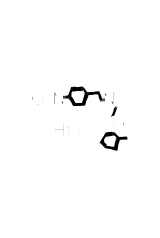 Cc1ccccc1OCCN(C)CCc1ccc([N+](=O)[O-])cc1.Cl